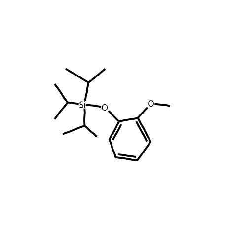 COc1ccccc1O[Si](C(C)C)(C(C)C)C(C)C